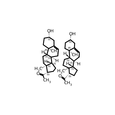 CC(=O)[C@H]1CC[C@H]2[C@@H]3CC=C4C[C@@H](O)CC[C@]4(C)[C@H]3CC[C@]12C.CC(=O)[C@H]1CC[C@H]2[C@@H]3CC=C4C[C@@H](O)CC[C@]4(C)[C@H]3CC[C@]12C